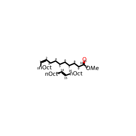 CCCCCCCC/C=C\CCCCCCCC(=O)OC.CCCCCCCCC=CCCCCCCCC